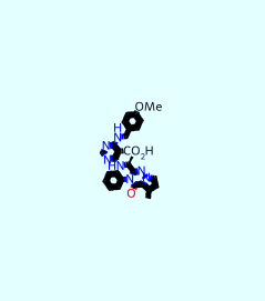 COc1ccc(CNc2ncnc(N[C@@H](C)c3nn4ccc(C)c4c(=O)n3-c3ccccc3)c2C(=O)O)cc1